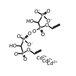 C=COP(=O)([O-])C(O)P(=O)([O-])[O-].C=COP(=O)([O-])C(O)P(=O)([O-])[O-].[Cd+2].[Cd+2].[Cd+2]